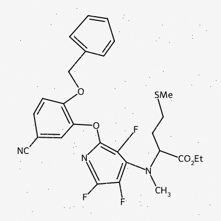 CCOC(=O)C(CCSC)N(C)c1c(F)c(F)nc(Oc2cc(C#N)ccc2OCc2ccccc2)c1F